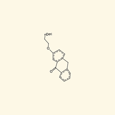 CCCCCCCCCCCCOc1ccc2c(c1)C(=O)c1ccccc1C2